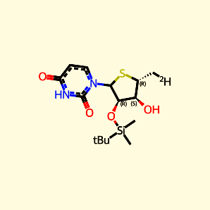 [2H]C[C@H]1SC(n2ccc(=O)[nH]c2=O)[C@H](O[Si](C)(C)C(C)(C)C)[C@@H]1O